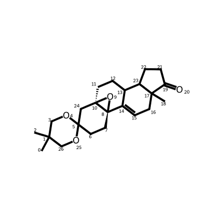 CC1(C)COC2(CC[C@]34O[C@]3(CCC3C4=CCC4(C)C(=O)CCC34)C2)OC1